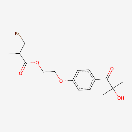 CC(CBr)C(=O)OCCOc1ccc(C(=O)C(C)(C)O)cc1